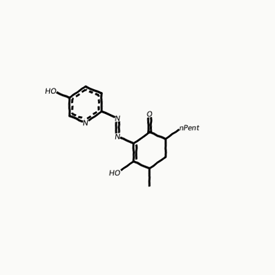 CCCCCC1CC(C)C(O)=C(N=Nc2ccc(O)cn2)C1=O